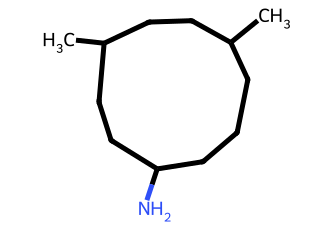 CC1CCCC(N)CCC(C)CC1